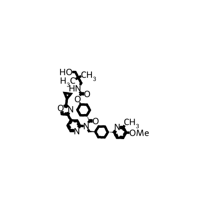 COc1ccc([C@H]2CC[C@H](CN(c3cc(-c4coc(C5CC5)n4)ccn3)C(=O)[C@H]3CC[C@H](OC(=O)NCC(C)(C)CO)CC3)CC2)nc1C